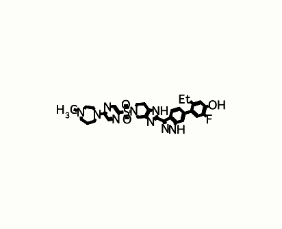 CCc1cc(O)c(F)cc1-c1ccc2c(-c3nc4c([nH]3)CCN(S(=O)(=O)c3cnc(N5CCCN(C)CC5)cn3)C4)n[nH]c2c1